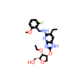 CCO[C@H]1[C@@H](CO)OC[C@H]1Oc1nc2nc(NCc3c(F)cccc3OC)c(CC)cc2[nH]1